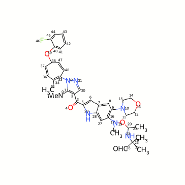 CNc1c(C(=O)c2cc3cc(N4CCOCC4)c(N(C)OC(C)NC(C)(C)C=O)cc3[nH]2)cnn1C1=C(C)C=CC(Oc2ccccc2F)C=C1